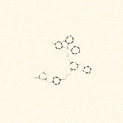 Cc1ccc(C(NCNc2nc(NCCc3ccc(Nc4nc(Cl)nc(Cl)n4)cc3)nc(Nc3ccccc3)n2)(c2ccccc2)c2ccccc2Cl)cc1